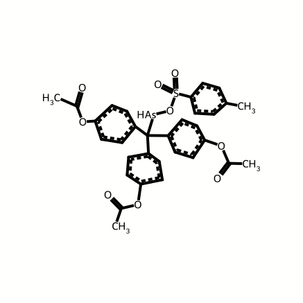 CC(=O)Oc1ccc(C([AsH]OS(=O)(=O)c2ccc(C)cc2)(c2ccc(OC(C)=O)cc2)c2ccc(OC(C)=O)cc2)cc1